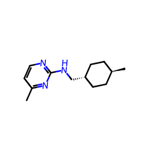 Cc1ccnc(NC[C@H]2CC[C@H](C)CC2)n1